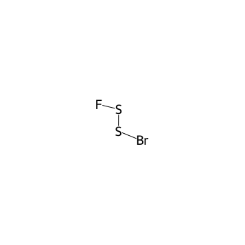 FSSBr